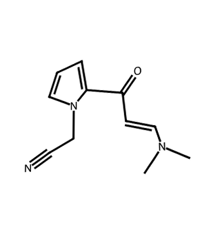 CN(C)C=CC(=O)c1cccn1CC#N